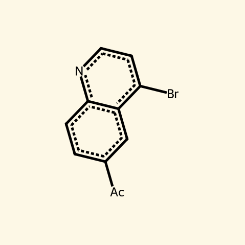 CC(=O)c1ccc2nccc(Br)c2c1